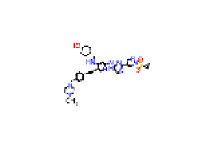 CN1CCN(Cc2ccc(C#Cc3cnc(Nc4ccnc(-c5cnn(S(=O)(=O)C6CC6)c5)n4)cc3NC[C@H]3CC[C@H](O)CC3)cc2)CC1